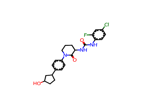 O=C(Nc1ccc(Cl)cc1F)NC1CCCN(c2ccc(C3CCC(O)C3)cc2)C1=O